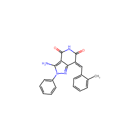 Cc1ccccc1/C=C1/C(=O)NC(=O)c2c1nn(-c1ccccc1)c2N